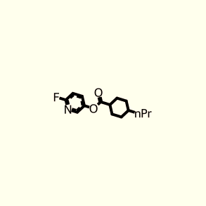 CCCC1CCC(C(=O)Oc2ccc(F)nc2)CC1